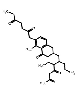 CCCC(CC1CC(=O)c2c(ccc(CC(=O)CCC(=O)CC)c2C)C1)C(CC)C(=O)CC(C)=O